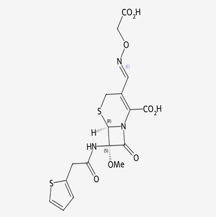 CO[C@@]1(NC(=O)Cc2cccs2)C(=O)N2C(C(=O)O)=C(/C=N/OCC(=O)O)CS[C@@H]21